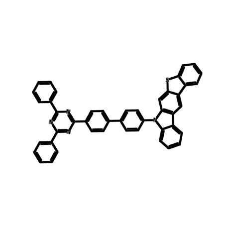 c1ccc(-c2nc(-c3ccccc3)nc(-c3ccc(-c4ccc(-n5c6ccccc6c6cc7c(cc65)sc5ccccc57)cc4)cc3)n2)cc1